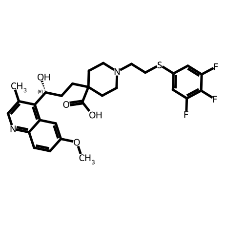 COc1ccc2ncc(C)c([C@H](O)CCC3(C(=O)O)CCN(CCSc4cc(F)c(F)c(F)c4)CC3)c2c1